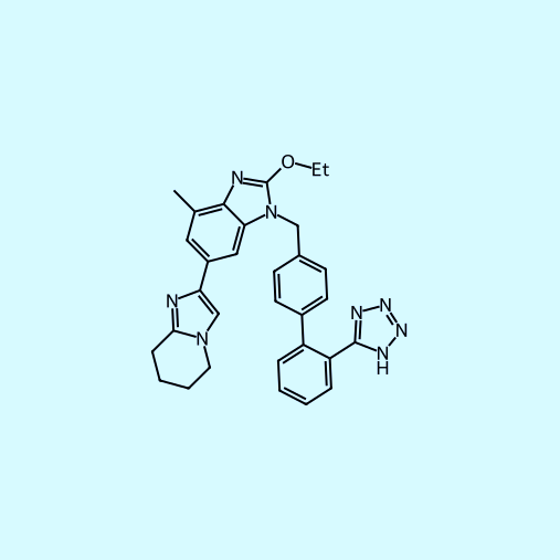 CCOc1nc2c(C)cc(-c3cn4c(n3)CCCC4)cc2n1Cc1ccc(-c2ccccc2-c2nnn[nH]2)cc1